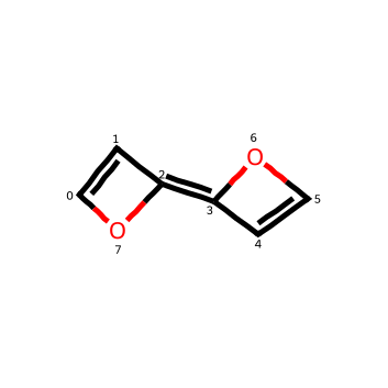 C1=CC(=C2C=CO2)O1